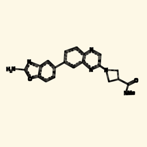 CNC(=O)C1CN(c2cnc3ccc(-c4ccc5oc(N)nc5c4)cc3n2)C1